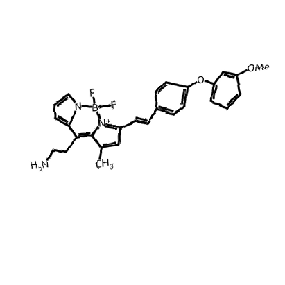 COc1cccc(Oc2ccc(/C=C/C3=[N+]4C(=C(CCN)c5cccn5[B-]4(F)F)C(C)=C3)cc2)c1